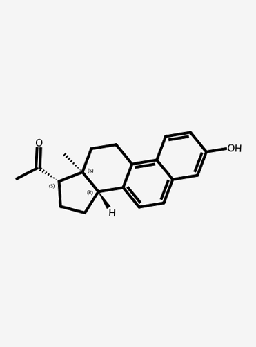 CC(=O)[C@H]1CC[C@H]2c3ccc4cc(O)ccc4c3CC[C@]12C